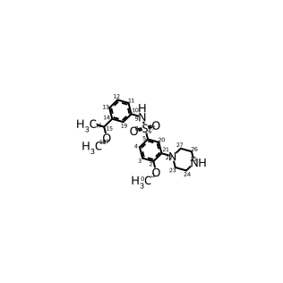 COc1ccc(S(=O)(=O)Nc2cccc(C(C)OC)c2)cc1N1CCNCC1